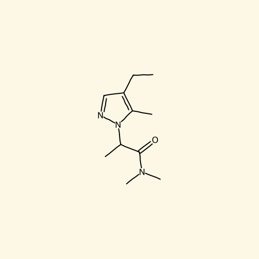 CCc1cnn(C(C)C(=O)N(C)C)c1C